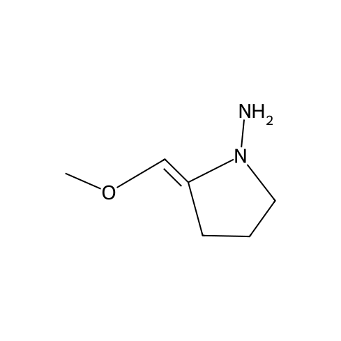 CO/C=C1\CCCN1N